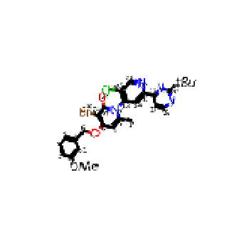 COc1cccc(COc2cc(C)n(-c3cc(-c4ccnc(C(C)(C)C)n4)ncc3Cl)c(=O)c2Br)c1